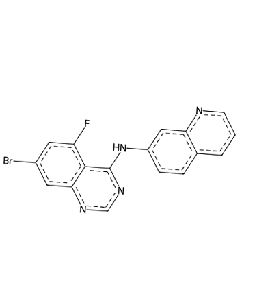 Fc1cc(Br)cc2ncnc(Nc3ccc4cccnc4c3)c12